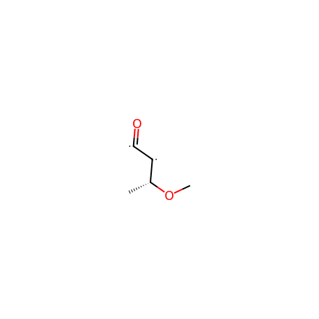 CO[C@H](C)[CH][C]=O